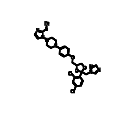 CCSc1nccn1N1CCN(c2ccc(OCC3COC(Cn4cncn4)(c4ccc(Cl)cc4Cl)O3)cc2)CC1